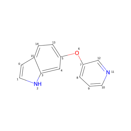 [c]1c[nH]c2cc(Oc3cccnc3)ccc12